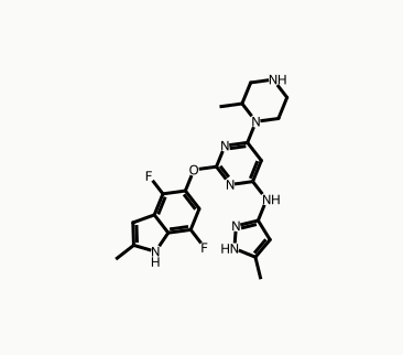 Cc1cc(Nc2cc(N3CCNCC3C)nc(Oc3cc(F)c4[nH]c(C)cc4c3F)n2)n[nH]1